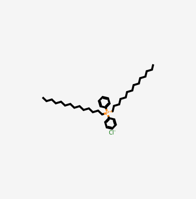 CCCCCCCCCCCCCC[P+](CCCCCCCCCCCCCC)(c1ccccc1)c1ccccc1.[Cl-]